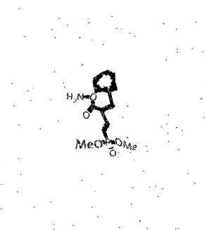 COP(=O)(CCC(Cc1ccccc1)C(=O)ON)OC